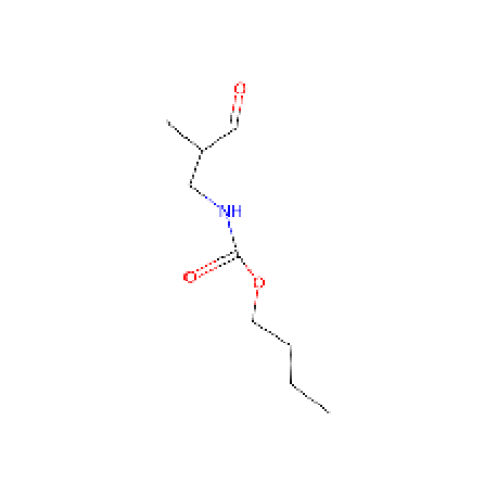 CCCCOC(=O)NCC(C)C=O